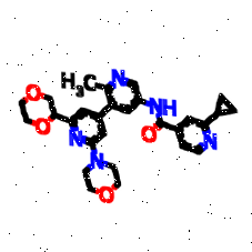 Cc1ncc(NC(=O)c2ccnc(C3CC3)c2)cc1-c1cc(C2COCCO2)nc(N2CCOCC2)c1